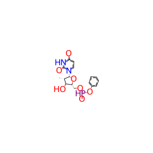 C[C@H]1[C@H](O)[C@@H](CO[PH](=O)Oc2ccccc2)O[C@H]1n1ccc(=O)[nH]c1=O